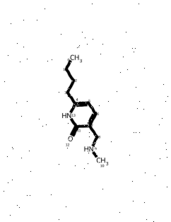 CCCCc1ccc(CNC)c(=O)[nH]1